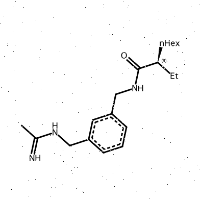 CCCCCC[C@@H](CC)C(=O)NCc1cccc(CNC(C)=N)c1